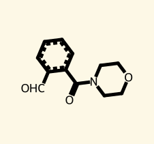 O=Cc1ccccc1C(=O)N1CCOCC1